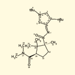 CCCCc1cn(C(C)(C)C)s/c1=N\C(=O)[C@@]1(C)CC[C@@H](C(=O)N(C)C)C1(C)C